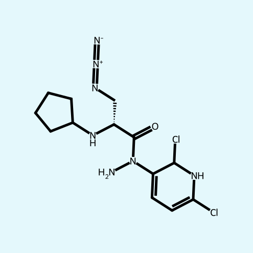 [N-]=[N+]=NC[C@@H](NC1CCCC1)C(=O)N(N)C1=CC=C(Cl)NC1Cl